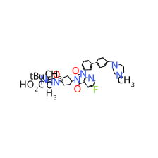 CN1CCCN(Cc2ccc(-c3cccc(-n4c(=O)n(C5CCC(NC(=O)C(C)(C)N(C(=O)O)C(C)(C)C)CC5)c(=O)c5cc(F)cnc54)c3)cc2)CC1